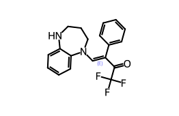 O=C(/C(=C/N1CCCNc2ccccc21)c1ccccc1)C(F)(F)F